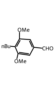 CCCCc1c(OC)cc(C=O)cc1OC